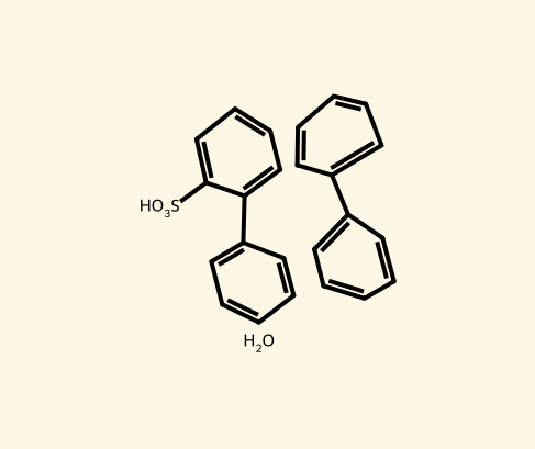 O.O=S(=O)(O)c1ccccc1-c1ccccc1.c1ccc(-c2ccccc2)cc1